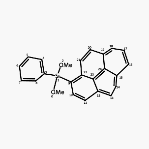 CO[Si](OC)(c1ccccc1)c1ccc2ccc3cccc4ccc1c2c34